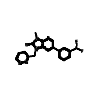 Cn1c(=O)n(Cc2cccnn2)c2cc(-c3cccc(C(F)F)c3)cnc21